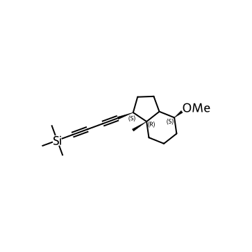 CO[C@H]1CCC[C@@]2(C)C1CC[C@@H]2C#CC#C[Si](C)(C)C